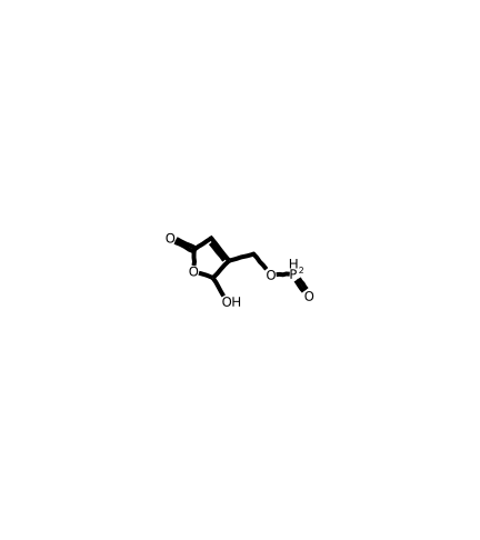 O=[PH2]OCC1=CC(=O)OC1O